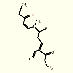 C=C/C(=C\CC(F)N(C)/C=C\C(=C)CC)C(=O)OC